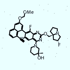 C#Cc1cccc2cc(OCOC)cc(-c3c(Cl)cc4c(N5CCC[C@@](C)(O)C5)nc(OC[C@@]56CCCN5C[C@H](F)C6)nc4c3F)c12